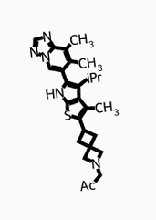 CC(=O)CN1CC2(CC(c3sc4[nH]c(-c5cn6ncnc6c(C)c5C)c(C(C)C)c4c3C)C2)C1